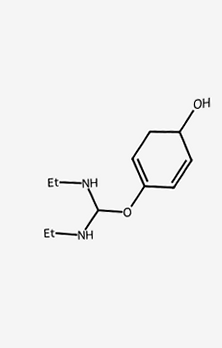 CCNC(NCC)OC1=CCC(O)C=C1